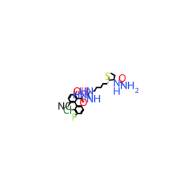 N#Cc1ccc(O)c(C(=O)NC(=N)NCCCCC[C@@H]2SCC[C@@H]2NC(N)=O)c1-c1cccc(F)c1Cl